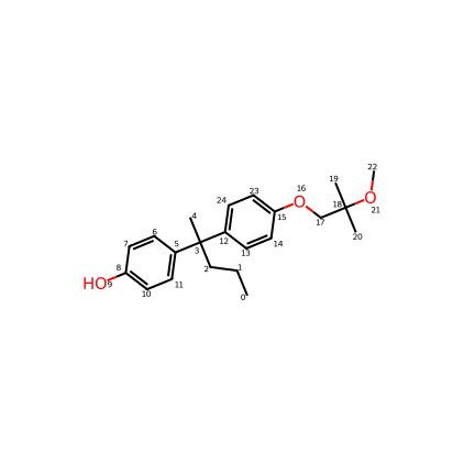 CCCC(C)(c1ccc(O)cc1)c1ccc(OCC(C)(C)OC)cc1